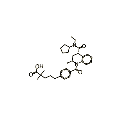 CCN(C(=O)[C@H]1C[C@H](C)N(C(=O)c2ccc(CCCC(C)(C)C(=O)O)cc2)c2ccccc21)C1CCCC1